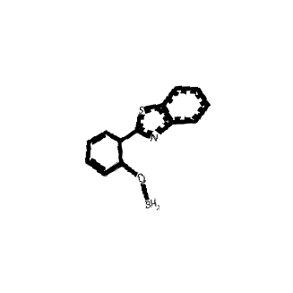 BOC1C=CC=CC1c1nc2ccccc2s1